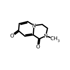 CN1CCn2ccc(=O)cc2C1=O